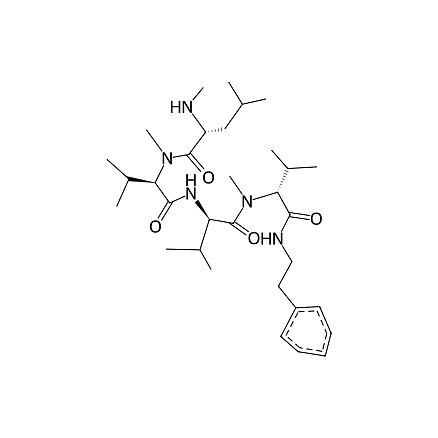 CN[C@H](CC(C)C)C(=O)N(C)[C@@H](C(=O)N[C@@H](C(=O)N(C)[C@@H](C(=O)NCCc1ccccc1)C(C)C)C(C)C)C(C)C